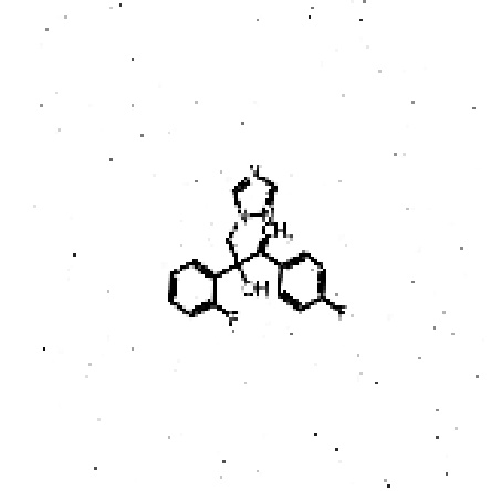 C=C(c1ccc(F)cc1)C(O)(Cn1cncn1)c1ccccc1F